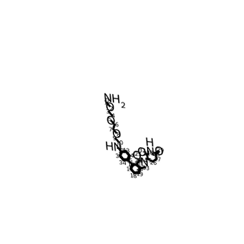 NCOCCOCCOCCNc1ccc(-c2cccc3c2C(=O)N(C2CCC(=O)NC2=O)C3)cc1